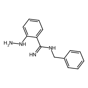 N=C(NCc1ccccc1)c1ccccc1NN